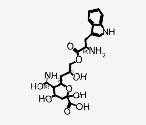 N[C@H](Cc1c[nH]c2ccccc12)C(=O)OC[C@@H](O)CC1OC(O)(C(=O)O)CC(O)C1[C@@H](N)O